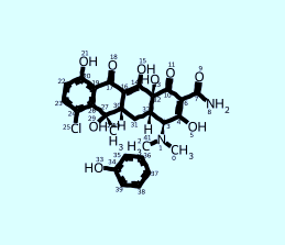 CN(C)[C@@H]1C(O)=C(C(N)=O)C(=O)[C@@]2(O)C(O)=C3C(=O)c4c(O)ccc(Cl)c4[C@@](C)(O)[C@H]3C[C@@H]12.Oc1ccccc1